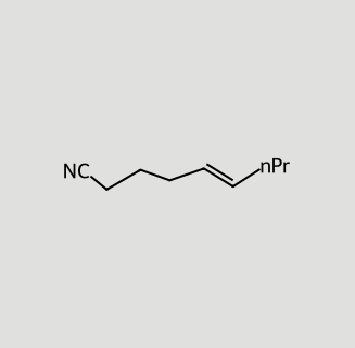 [CH2]CCC=CCCCC#N